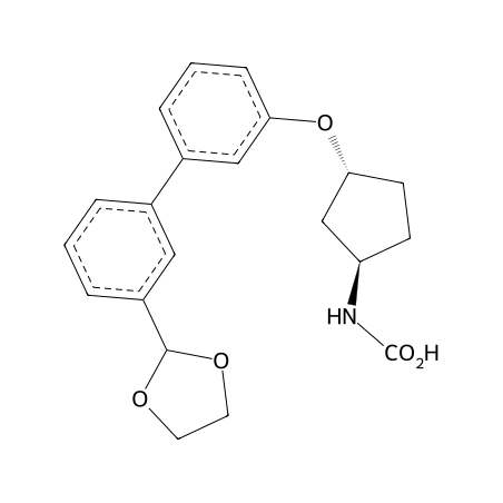 O=C(O)N[C@@H]1CC[C@@H](Oc2cccc(-c3cccc(C4OCCO4)c3)c2)C1